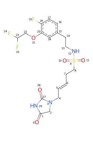 O=C1CN(C/C=C/CCS(=O)(=O)NCCc2ccc(F)c(OCC(F)F)c2)C(=O)N1